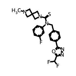 CN1CC2(C1)CN(C(=S)N(Cc1ccc(-c3nnc(C(F)F)o3)cc1)c1cccc(F)c1)C2